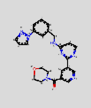 O=C(c1cncc(-c2nccc(NCc3cccc(-n4cccn4)c3)n2)c1)N1CCOCC1